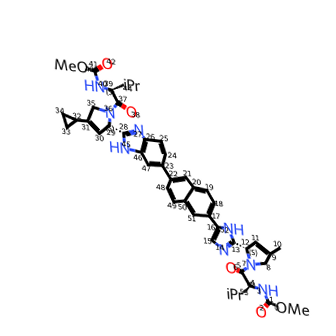 COC(=O)N[C@H](C(=O)N1CC(C)=C[C@H]1c1ncc(-c2ccc3cc(-c4ccc5nc([C@@H]6C=C(C7CC7)CN6C(=O)[C@@H](NC(=O)OC)C(C)C)[nH]c5c4)ccc3c2)[nH]1)C(C)C